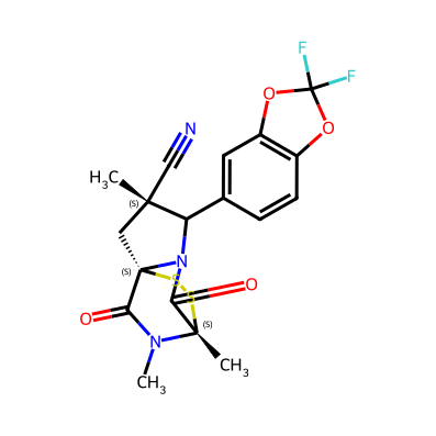 CN1C(=O)[C@@]23C[C@](C)(C#N)C(c4ccc5c(c4)OC(F)(F)O5)N2C(=O)[C@]1(C)SS3